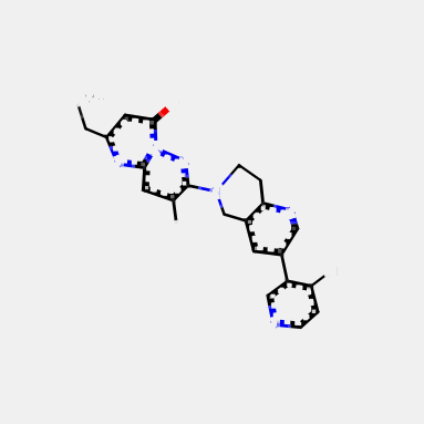 COCc1cc(=O)n2nc(N3CCc4ncc(-c5cnccc5C)cc4C3)c(C)cc2n1